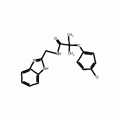 CC(C)(Oc1ccc(Cl)cc1)C(=O)NCc1nc2ccccc2[nH]1